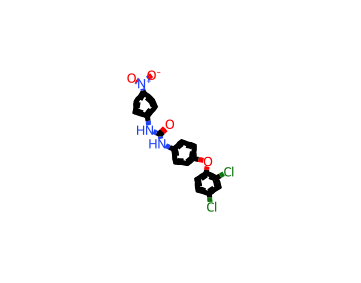 O=C(Nc1ccc(Oc2ccc(Cl)cc2Cl)cc1)Nc1ccc([N+](=O)[O-])cc1